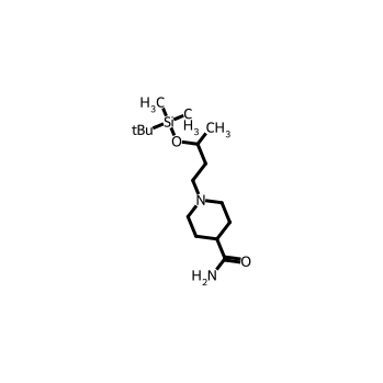 CC(CCN1CCC(C(N)=O)CC1)O[Si](C)(C)C(C)(C)C